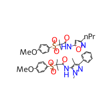 CCCc1cc(NC(=O)C(C)(C)S(=O)(=O)c2ccc(OC)cc2)on1.COc1ccc(S(=O)(=O)C(C)(C)C(=O)Nc2c(C)c(-c3ccccc3)nn2C)cc1